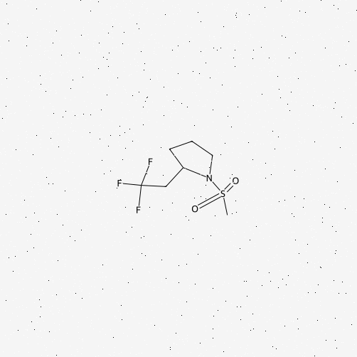 CS(=O)(=O)N1CCCC1CC(F)(F)F